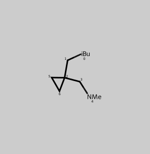 CCC(C)CC1(CNC)CC1